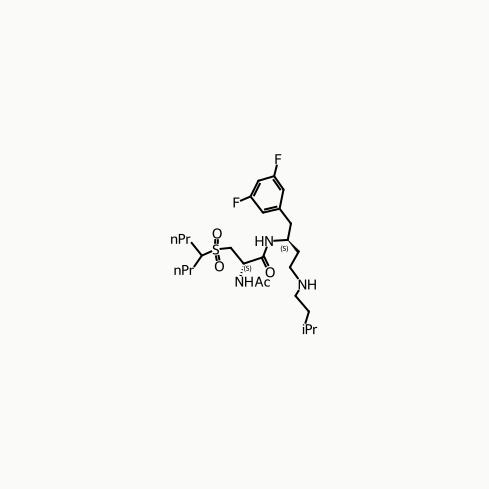 CCCC(CCC)S(=O)(=O)C[C@@H](NC(C)=O)C(=O)N[C@H](CCNCCC(C)C)Cc1cc(F)cc(F)c1